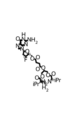 CC(C)[C@H](N)C(=O)OCC(COC(=O)[C@@H](N)C(C)C)OC(=O)CCC(=O)OC[C@H]1O[C@@H](n2cnc3c(=O)[nH]c(N)nc32)C[C@@H]1F